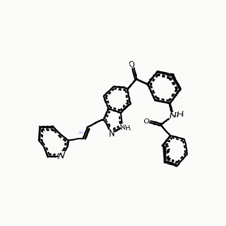 O=C(Nc1cccc(C(=O)c2ccc3c(/C=C/c4ccccn4)n[nH]c3c2)c1)c1ccccc1